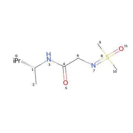 CC(C)[C@@H](C)NC(=O)CN=S(C)(C)=O